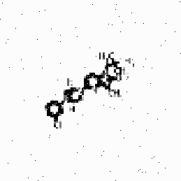 Cn1c(=O)n(CC(C)(C)C)c2ccc(N3C[C@@H]4C[C@H]3CN4c3cccc(Cl)c3)nc21